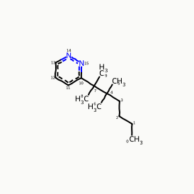 CCCCC(C)(C)C(C)(C)c1cccnn1